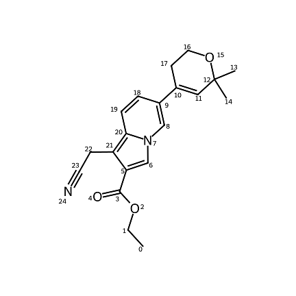 CCOC(=O)c1cn2cc(C3=CC(C)(C)OCC3)ccc2c1CC#N